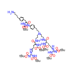 CC(C)(C)OC(=O)/N=C(\NCCCC[C@H](NC(=O)OC(C)(C)C)C(=O)NCCCN(CCCNC(=O)[C@H](CCCCN/C(=N\C(=O)OC(C)(C)C)NC(=O)OC(C)(C)C)NC(=O)OC(C)(C)C)CCCc1ccc(NC(=O)[C@H](Cc2ccc(CCCCN)cc2)NC(=O)OC(C)(C)C)cc1)NC(=O)OC(C)(C)C